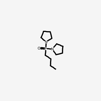 CCCCP(=O)(N1CCCC1)N1CCCC1